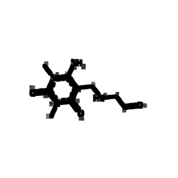 Cn1c(N)c(CNCC=O)c(=O)n(C)c1=O